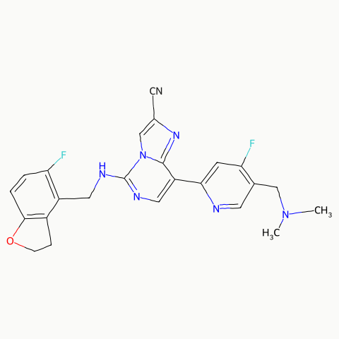 CN(C)Cc1cnc(-c2cnc(NCc3c(F)ccc4c3CCO4)n3cc(C#N)nc23)cc1F